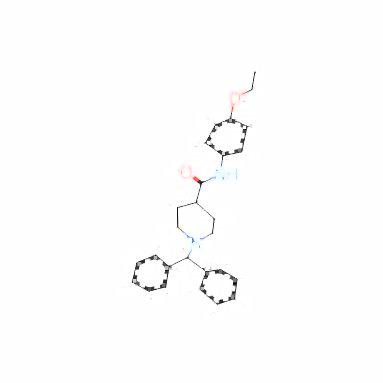 CCOc1ccc(NC(=O)C2CCN(C(c3ccccc3)c3ccccc3)CC2)cc1